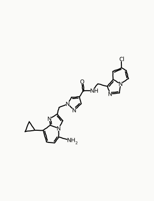 Nc1ccc(C2CC2)c2nc(Cn3cc(C(=O)NCc4ncn5ccc(Cl)cc45)cn3)cn12